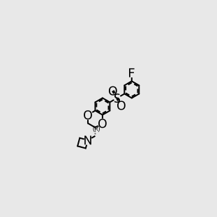 O=S(=O)(c1cccc(F)c1)c1ccc2c(c1)O[C@H](CN1CCC1)CO2